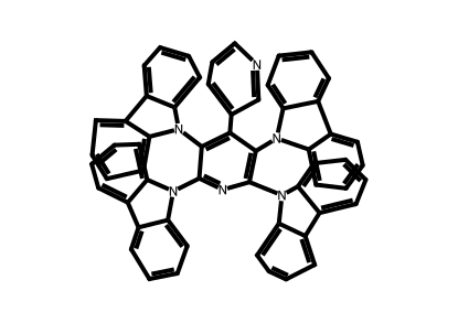 c1cncc(-c2c(-n3c4ccccc4c4ccccc43)c(-n3c4ccccc4c4ccccc43)nc(-n3c4ccccc4c4ccccc43)c2-n2c3ccccc3c3ccccc32)c1